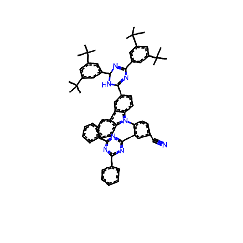 CC(C)(C)c1cc(C2=NC(c3cc(C(C)(C)C)cc(C(C)(C)C)c3)NC(c3ccc4c(c3)c3ccccc3n4-c3ccc(C#N)cc3-c3nc(-c4ccccc4)nc(-c4ccccc4)n3)=N2)cc(C(C)(C)C)c1